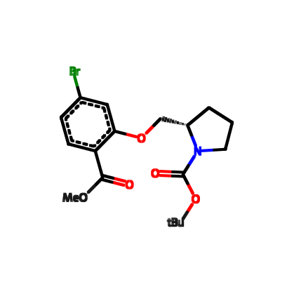 COC(=O)c1ccc(Br)cc1OC[C@@H]1CCCN1C(=O)OC(C)(C)C